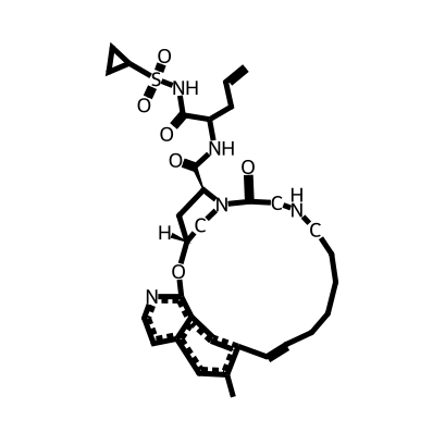 C=CCC(NC(=O)[C@@H]1C[C@@H]2CN1C(=O)CNCCCCC/C=C\c1cc3c(nccc3cc1C)O2)C(=O)NS(=O)(=O)C1CC1